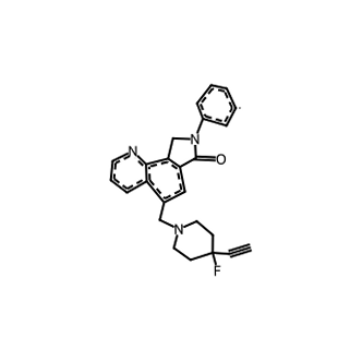 C#CC1(F)CCN(Cc2cc3c(c4ncccc24)CN(c2c[c]ccc2)C3=O)CC1